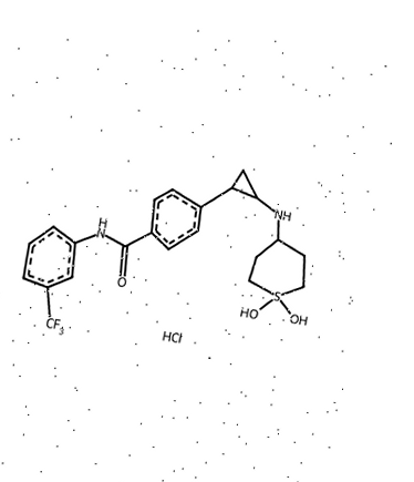 Cl.O=C(Nc1cccc(C(F)(F)F)c1)c1ccc(C2CC2NC2CCS(O)(O)CC2)cc1